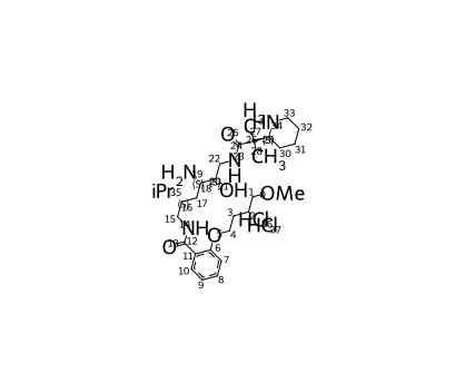 COCCCCOc1ccccc1C(=O)NC[C@@H](C[C@H](N)[C@@H](O)CNC(=O)C(C)(C)[C@@H]1CCCCN1)C(C)C.Cl.Cl